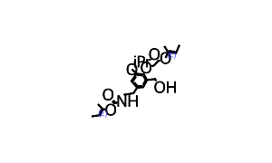 C/C=C(\C)OC(=O)COc1c(CO)cc(CCNC(=O)O/C(C)=C/C)cc1OC(C)C